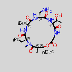 CCCCCCCCCC[C@H]1OC(=O)CNC(=O)[C@H]([C@H](C)O)NC(=O)[C@H](CN)NC(=O)[C@H]([C@@H](C)CC)NC(=O)[C@H](CC(C)C)N(C)C(=O)[C@@H]1C